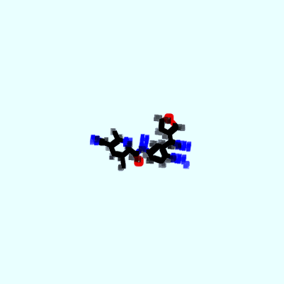 Cc1cc(C#N)c(C)nc1C(=O)Nc1ccc(N)c(C(=N)c2ccoc2)c1